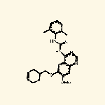 COc1cc2ncnc(NC(=S)Nc3c(C)cccc3C)c2cc1OCC1CC=CCC1